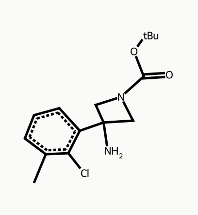 Cc1cccc(C2(N)CN(C(=O)OC(C)(C)C)C2)c1Cl